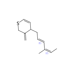 C=C1CSC=CC1C/C=C/C(C)=C\C